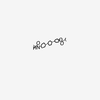 C=C(C)C(=O)Nc1ccc(-c2ccc(-c3ccc(OC(=O)C(=C)C)cc3)cc2)cc1